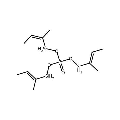 CC=C(C)[SiH2]OP(=O)(O[SiH2]C(C)=CC)O[SiH2]C(C)=CC